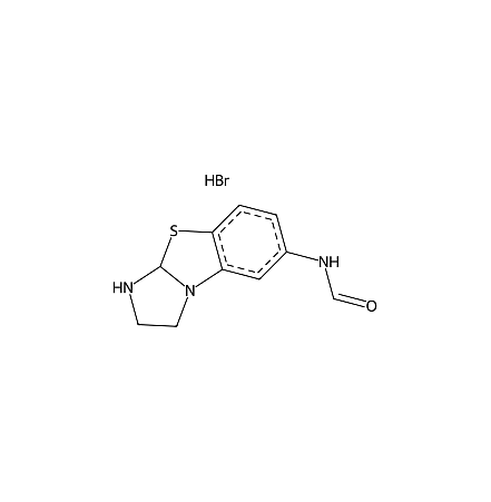 Br.O=CNc1ccc2c(c1)N1CCNC1S2